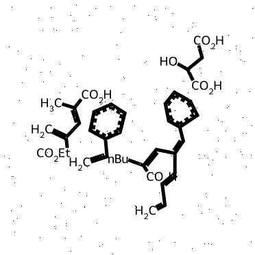 C=C(C=C(C)C(=O)O)C(=O)OCC.C=CC=CC(=Cc1ccccc1)C=C(CCCC)C(=O)O.C=Cc1ccccc1.O=C(O)CC(O)C(=O)O